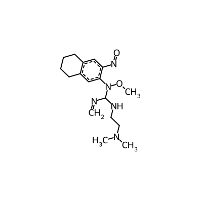 C=NC(NCCN(C)C)N(OC)c1cc2c(cc1N=O)CCCC2